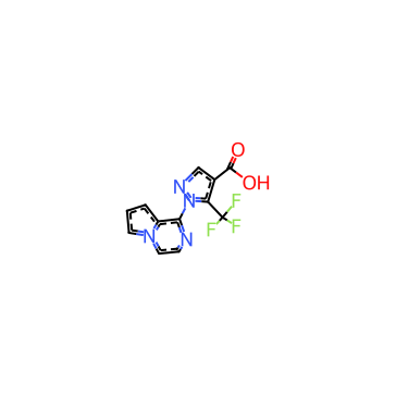 O=C(O)c1cnn(-c2nccn3cccc23)c1C(F)(F)F